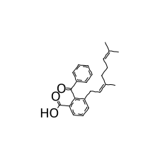 CC(C)=CCCC(C)=CCc1cccc(C(=O)O)c1C(=O)c1ccccc1